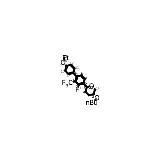 CCCCOC1CCC(c2ccc(-c3ccc(OCC)cc3)c(C(F)(F)F)c2F)OC1